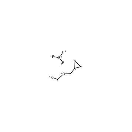 FB(F)F.[K][CH2]OCC1CC1